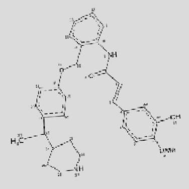 COc1ccc(C=CC(=O)Nc2ccccc2COc2ccc(C(C)C3CCNCC3)cc2)cc1O